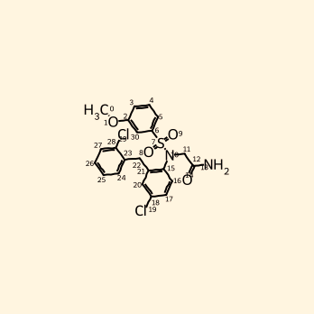 COc1cccc(S(=O)(=O)N(CC(N)=O)c2ccc(Cl)cc2Cc2ccccc2Cl)c1